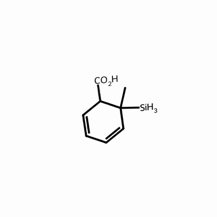 CC1([SiH3])C=CC=CC1C(=O)O